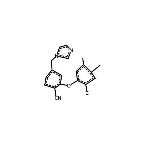 Cc1cc(Cl)c(Oc2cc(Cn3ccnc3)ccc2C#N)cc1C